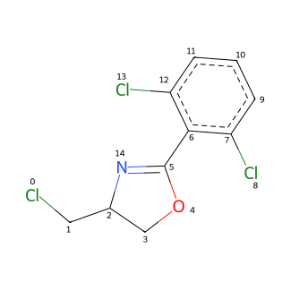 ClCC1COC(c2c(Cl)cccc2Cl)=N1